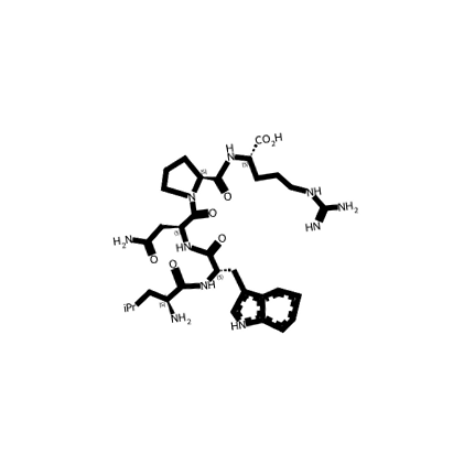 CC(C)C[C@H](N)C(=O)N[C@@H](Cc1c[nH]c2ccccc12)C(=O)N[C@@H](CC(N)=O)C(=O)N1CCC[C@H]1C(=O)N[C@@H](CCCNC(=N)N)C(=O)O